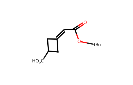 CC(C)(C)OC(=O)C=C1CC(C(=O)O)C1